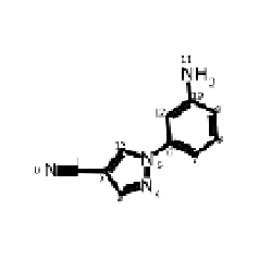 N#Cc1cnn(-c2cccc(N)c2)c1